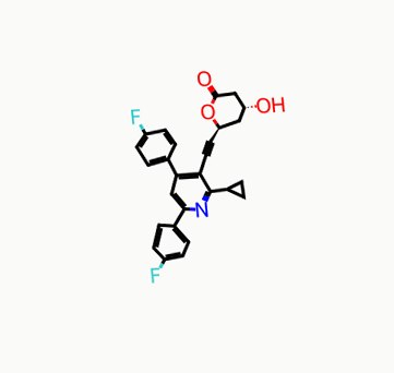 O=C1C[C@H](O)C[C@@H](C#Cc2c(-c3ccc(F)cc3)cc(-c3ccc(F)cc3)nc2C2CC2)O1